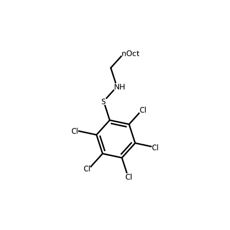 CCCCCCCCCNSc1c(Cl)c(Cl)c(Cl)c(Cl)c1Cl